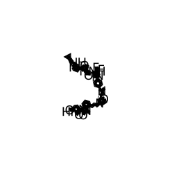 CN(CC[C@H]1CN(CCCc2cccc3c2n(C)c(=O)n3C2CCC(=O)NC2=O)CCO1)C[C@H]1CC[C@H](n2cc(NC(=O)c3coc(-c4ccnc(NCC5CC5)c4)n3)c(C(F)F)n2)CC1